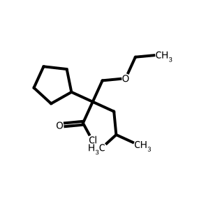 CCOCC(CC(C)C)(C(=O)Cl)C1CCCC1